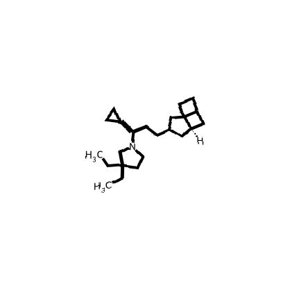 CCC1(CC)CCN(C(CCC2C[C@@H]3CC4CCC43C2)=C2CC2)C1